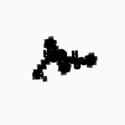 NCCCCCCCC(=O)N[C@@H](Cc1ccccc1)C(=O)N[C@@H](Cc1ccccc1)C(=O)NCCNC(=O)OCc1ccccc1